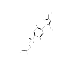 CCC(C)CNS(=O)(=O)c1cc(Cl)c(-n2nc(C)cc2N)cc1Cl